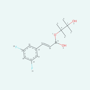 CC(C)(O)C(C)(C)OB(O)C=Cc1cc(F)cc(F)c1